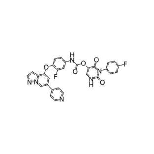 O=C(Nc1ccc(Oc2cc(-c3ccncc3)cn3nccc23)c(F)c1)Oc1c[nH]c(=O)n(-c2ccc(F)cc2)c1=O